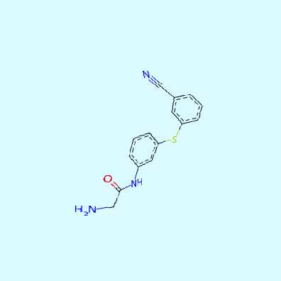 N#Cc1cccc(Sc2cccc(NC(=O)CN)c2)c1